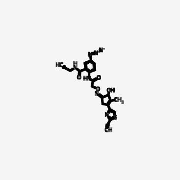 C#CCNC(=O)c1cc(N=[N+]=[N-])ccc1NC(=O)CO/N=C1/CC(c2csc(C#C)n2)=C(C)C1O